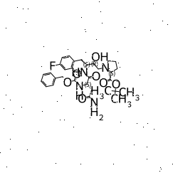 CC(C)(C)OC(=O)[C@@H]1CCCN1C[C@@H](O)[C@H](Cc1ccc(F)cc1)NC(=O)[C@H](CC(N)=O)NC(=O)OCc1ccccc1